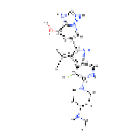 CCN(C)C1CCN(c2ncc3[nH]c(-c4cc(OC)c5ncnn5c4)c(C(C)C)c3c2F)CC1